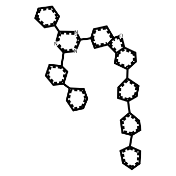 c1ccc(-c2ccc(-c3ccc(-c4ccc5oc6ccc(-c7nc(-c8ccccc8)nc(-c8cccc(-c9ccccc9)c8)n7)cc6c5c4)cc3)cc2)cc1